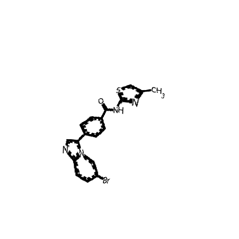 Cc1csc(NC(=O)c2ccc(-c3cnc4ccc(Br)cn34)cc2)n1